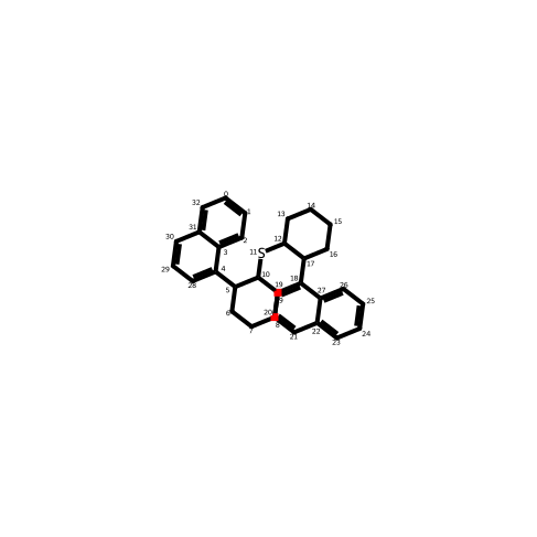 c1ccc2c(C3CCCCC3SC3CCCCC3c3cccc4ccccc34)cccc2c1